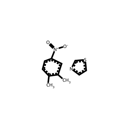 Cc1ccc([N+](=O)[O-])cc1C.c1cscn1